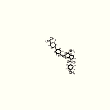 CC(=O)N1CCN(c2ccc(Nc3nc(N)c4ccn(S(=O)(=O)c5ccc(C)cc5)c4n3)cc2)CC1